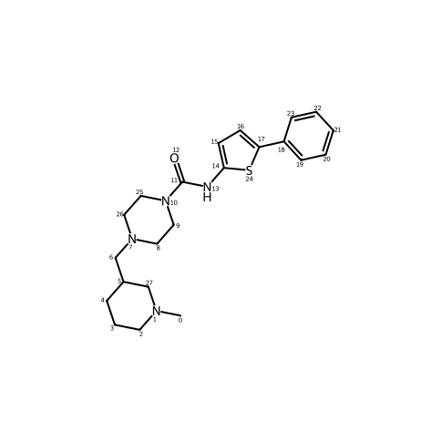 CN1CCCC(CN2CCN(C(=O)Nc3ccc(-c4ccccc4)s3)CC2)C1